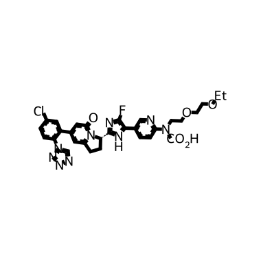 CCOCCOCCN(C(=O)O)c1ccc(-c2[nH]c([C@@H]3CCc4cc(-c5cc(Cl)ccc5-n5cnnn5)cc(=O)n43)nc2F)cn1